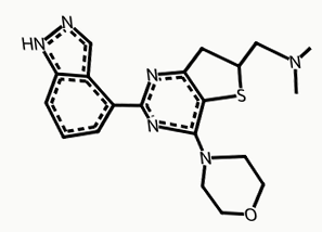 CN(C)CC1Cc2nc(-c3cccc4[nH]ncc34)nc(N3CCOCC3)c2S1